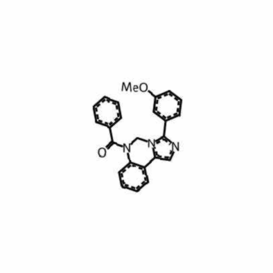 COc1cccc(-c2ncc3n2CN(C(=O)c2ccccc2)c2ccccc2-3)c1